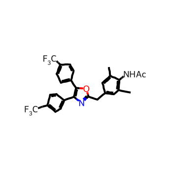 CC(=O)Nc1c(C)cc(Cc2nc(-c3ccc(C(F)(F)F)cc3)c(-c3ccc(C(F)(F)F)cc3)o2)cc1C